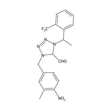 Cc1cc(CN2N=NN(C(C)c3ccccc3C(F)(F)F)C2C=O)ccc1[N+](=O)[O-]